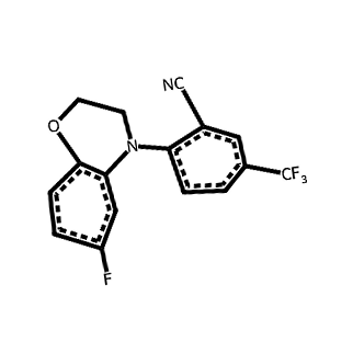 N#Cc1cc(C(F)(F)F)ccc1N1CCOc2ccc(F)cc21